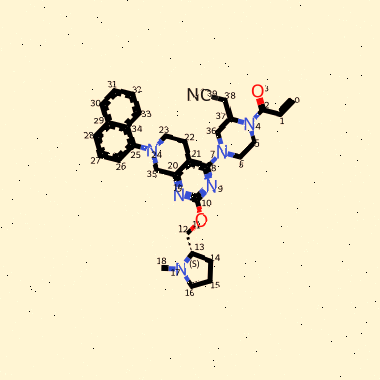 C=CC(=O)N1CCN(c2nc(OC[C@@H]3CCCN3C)nc3c2CCN(c2cccc4ccccc24)C3)CC1CC#N